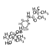 CC(C)(C)OC(=O)Nc1ccc(BOC(C)(C)C(C)(C)O)cc1